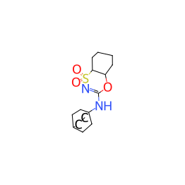 O=S1(=O)N=C(NC23CCC(CC2)CC3)OC2CCCCC21